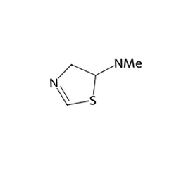 CNC1CN=CS1